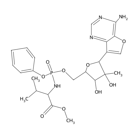 COC(=O)C(NP(=O)(OCC1OC(c2coc3c(N)ncnc23)C(C)(O)C1O)Oc1ccccc1)C(C)C